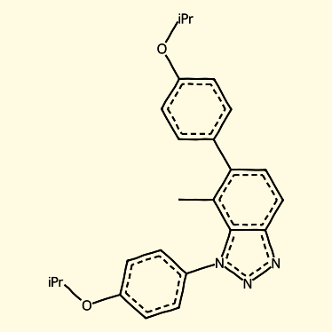 Cc1c(-c2ccc(OC(C)C)cc2)ccc2nnn(-c3ccc(OC(C)C)cc3)c12